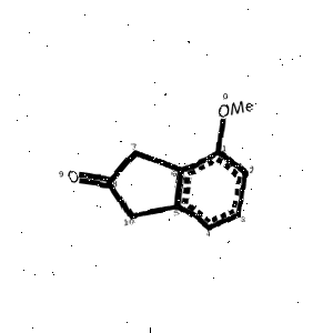 COc1cccc2c1CC(=O)C2